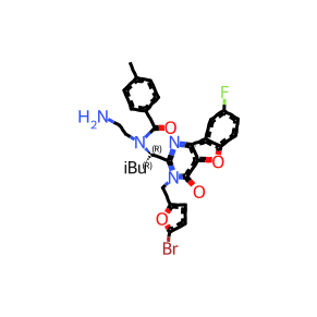 CC[C@@H](C)[C@H](c1nc2c(oc3ccc(F)cc32)c(=O)n1Cc1ccc(Br)o1)N(CCN)C(=O)c1ccc(C)cc1